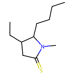 CCCCC1C(CC)CC(=S)N1C